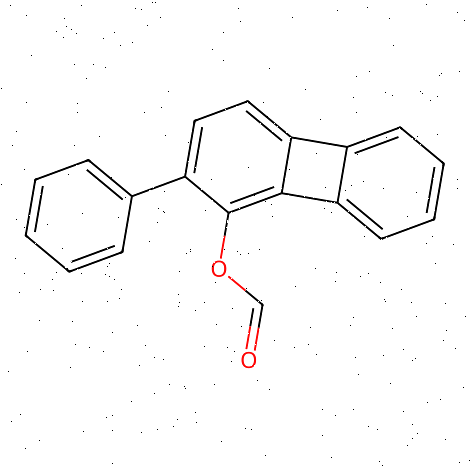 O=COc1c(-c2ccccc2)ccc2c1-c1ccccc1-2